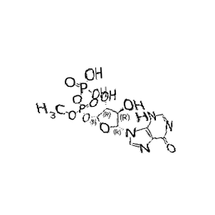 COP(=O)(O[C@H]1O[C@@H](n2cnc3c(=O)nc[nH]c32)[C@H](O)[C@H]1O)OP(=O)(O)O